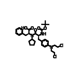 CC(C)(C)OC(=O)N[C@@H](Cc1ccc(N(CCCl)CCCl)cc1)C(=O)N(C1CCCC1)[C@@H](Cc1ccccc1)C(=O)O